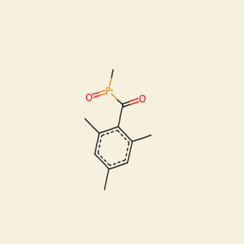 Cc1cc(C)c(C(=O)[P](C)=O)c(C)c1